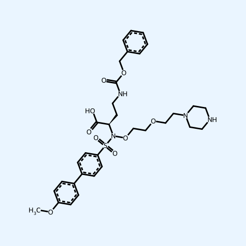 COc1ccc(-c2ccc(S(=O)(=O)N(OCCOCCN3CCNCC3)[C@H](CCNC(=O)OCc3ccccc3)C(=O)O)cc2)cc1